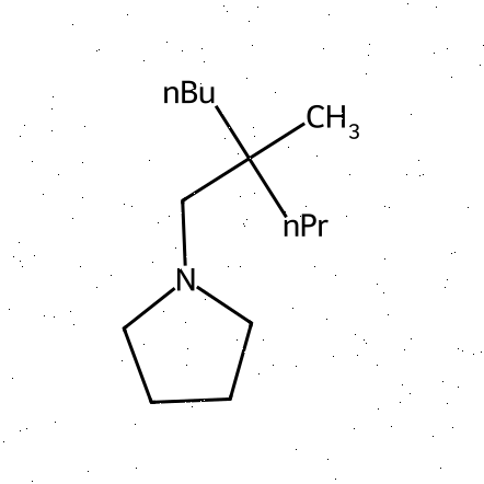 CCCCC(C)(CCC)CN1CCCC1